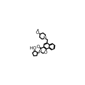 COC1CCN(Cc2cc3c(c4ccccc24)OCN([C@H]2CCC[C@@H]2O)C3=O)CC1